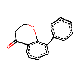 O=C1CCOc2c1cccc2-c1ccccc1